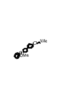 CNCCCOc1ccc([C@H]2CC[C@@H](OOC3(OC)C4CC5CC(C4)CC3C5)CC2)cc1